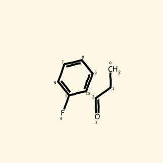 CCC=O.Fc1ccccc1